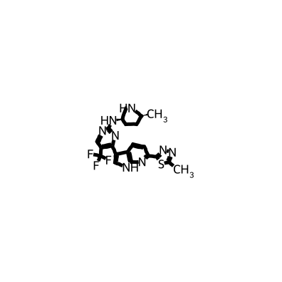 Cc1nnc(-c2ccc3c(-c4nc(N[C@@H]5CC[C@@H](C)NC5)ncc4C(F)(F)F)c[nH]c3n2)s1